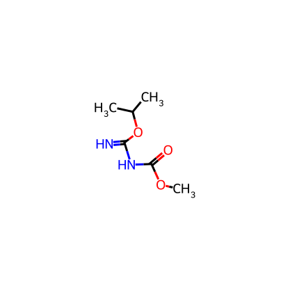 COC(=O)NC(=N)OC(C)C